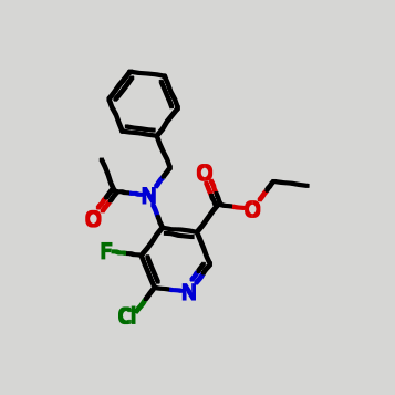 CCOC(=O)c1cnc(Cl)c(F)c1N(Cc1ccccc1)C(C)=O